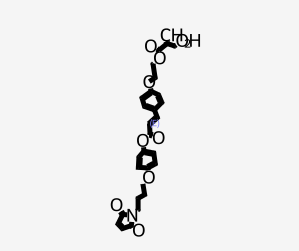 C=C(CO)C(=O)OCCOc1ccc(/C=C/C(=O)Oc2ccc(OCCCCN3C(=O)C=CC3=O)cc2)cc1